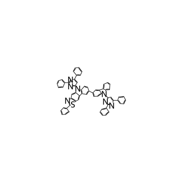 c1ccc(-c2cc(-n3c4ccccc4c4cc(-c5ccc6c(c5)c5cc7sc(-c8ccccc8)nc7cc5n6-c5cc(-c6ccccc6)nc(-c6ccccc6)n5)ccc43)nc(-c3ccccc3)n2)cc1